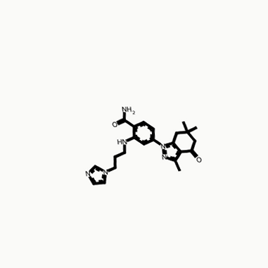 Cc1nn(-c2ccc(C(N)=O)c(NCCCn3ccnc3)c2)c2c1C(=O)CC(C)(C)C2